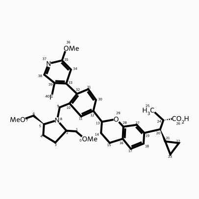 COCC1CC[C@@H](COC)N1Cc1cc(C2CCc3ccc([C@H](C4CC4)[C@H](C)C(=O)O)cc3O2)ccc1-c1cc(OC)ncc1F